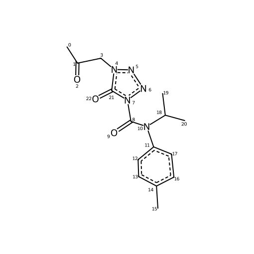 CC(=O)Cn1nnn(C(=O)N(c2ccc(C)cc2)C(C)C)c1=O